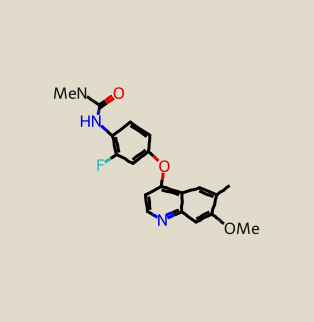 CNC(=O)Nc1ccc(Oc2ccnc3cc(OC)c(C)cc23)cc1F